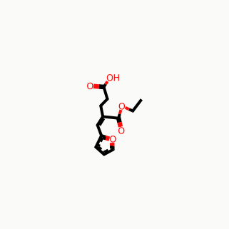 CCOC(=O)C(=Cc1ccco1)CCC(=O)O